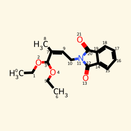 CCOC(OCC)C(C)=CCN1C(=O)c2ccccc2C1=O